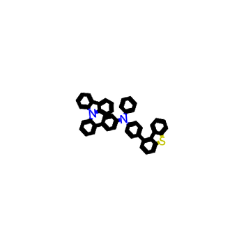 c1ccc(N(c2ccc(-c3ccccc3-n3c4ccccc4c4ccccc43)cc2)c2ccc(-c3cccc4sc5ccccc5c34)cc2)cc1